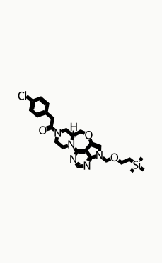 C[Si](C)(C)CCOCn1cc2c3c(ncnc31)N1CCN(C(=O)Cc3ccc(Cl)cc3)C[C@H]1CO2